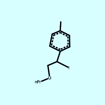 CCCOCC(I)c1ccc(C)cc1